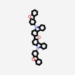 c1ccc2c(c1)oc1ccc(-n3c4ccccc4c4c5oc6c(ccc7c6c6ccccc6n7-c6ccc7oc8ccccc8c7c6)c5ccc43)cc12